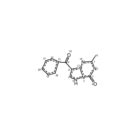 Cc1nc(=O)n2[nH]cc(C(=O)c3ccccc3)c2n1